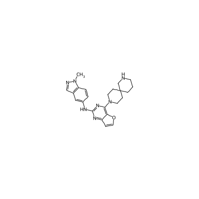 Cn1ncc2cc(Nc3nc(N4CCC5(CCCNC5)CC4)c4occc4n3)ccc21